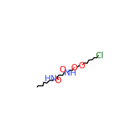 CCCCCCCNC(=O)CCC(=O)NCCOCCOCCCCCCCl